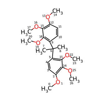 COc1ccc(C(C)(C)c2ccc(OC)c(OC)c2OC)c(OC)c1OC